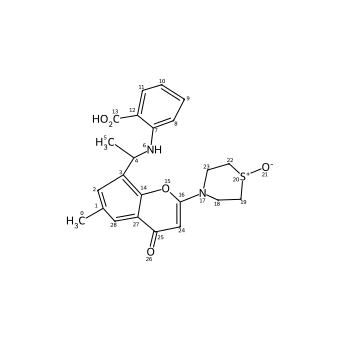 Cc1cc(C(C)Nc2ccccc2C(=O)O)c2oc(N3CC[S+]([O-])CC3)cc(=O)c2c1